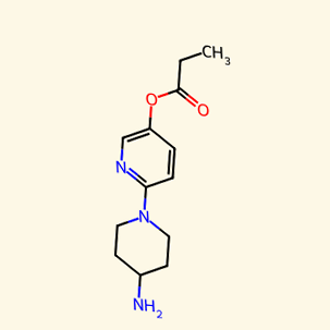 CCC(=O)Oc1ccc(N2CCC(N)CC2)nc1